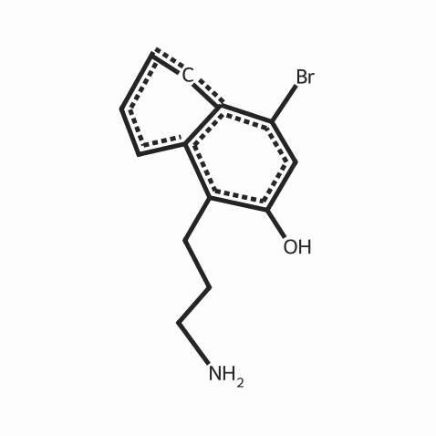 NCCCc1c(O)cc(Br)c2ccccc12